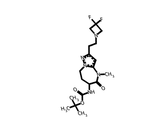 CN1C(=O)C(NC(=O)OC(C)(C)C)CCn2nc(CCN3CC(F)(F)C3)cc21